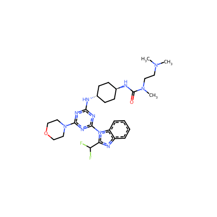 CN(C)CCN(C)C(=O)N[C@H]1CC[C@H](Nc2nc(N3CCOCC3)nc(-n3c(C(F)F)nc4ccccc43)n2)CC1